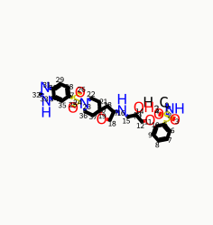 CNS(=O)(=O)c1ccccc1OC[C@@H](O)CNC1COC2(CCN(S(=O)(=O)c3ccc4nc[nH]c4c3)CC2)C1